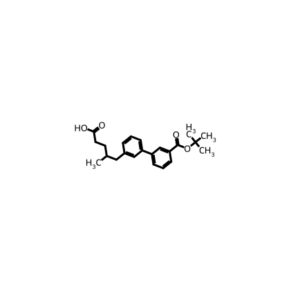 CC(CCC(=O)O)Cc1cccc(-c2cccc(C(=O)OC(C)(C)C)c2)c1